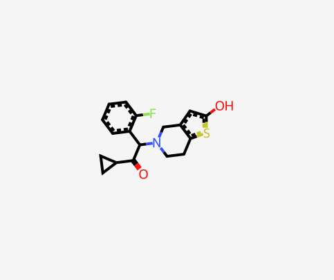 O=C(C1CC1)C(c1ccccc1F)N1CCc2sc(O)cc2C1